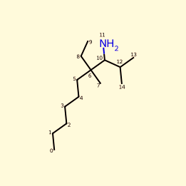 CCCCCCC(C)(CC)C(N)C(C)C